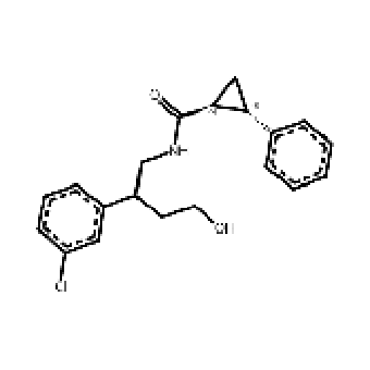 O=C(NCC(CCO)c1cccc(Cl)c1)[C@H]1C[C@@H]1c1ccccc1